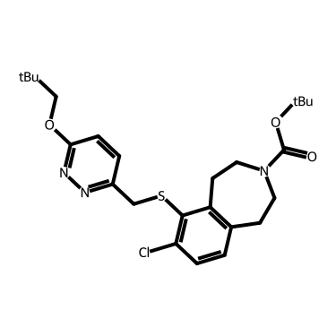 CC(C)(C)COc1ccc(CSc2c(Cl)ccc3c2CCN(C(=O)OC(C)(C)C)CC3)nn1